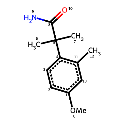 COc1ccc(C(C)(C)C(N)=O)c(C)c1